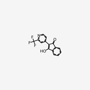 O=C1C(c2ccnc(C(F)(F)F)c2)=C(O)c2ccccc21